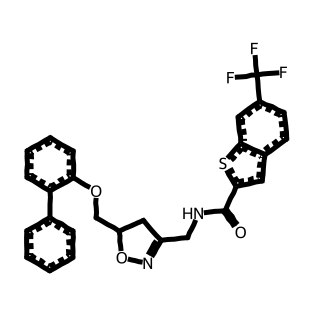 O=C(NCC1=NOC(COc2ccccc2-c2ccccc2)C1)c1cc2ccc(C(F)(F)F)cc2s1